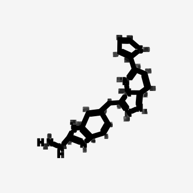 NNc1nc2ccc(Cc3nnc4ccc(-c5cccs5)nn34)cc2s1